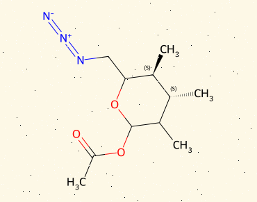 CC(=O)OC1OC(CN=[N+]=[N-])[C@@H](C)[C@H](C)C1C